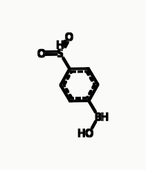 O=[SH](=O)c1ccc(BO)cc1